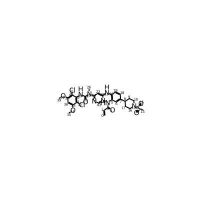 C=CC(=O)Nc1cc(C2CCN(S(C)(=O)=O)CC2)ccc1Nc1cc(N(C)C(=O)Nc2c(Cl)c(OC)cc(OC)c2Cl)ncn1